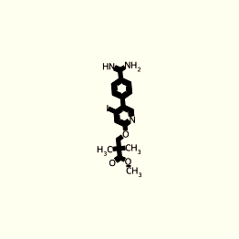 COC(=O)C(C)(C)COc1cc(I)c(-c2ccc(C(=N)N)cc2)cn1